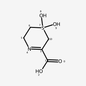 O=C(O)C1=NCCS(O)(O)[CH]1